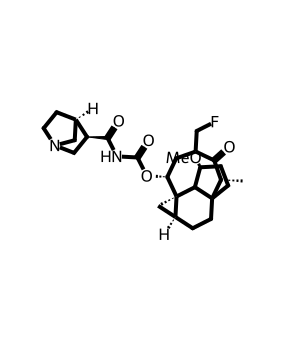 CO[C@@H]1CCC23CC[C@H]4C[C@@]4(C12)[C@H](OC(=O)NC(=O)[C@H]1CN2CC[C@@H]1C2)CC(CF)C(=O)[C@@H]3C